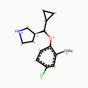 COc1cc(Cl)ccc1OC(C1CC1)[C@H]1CCNC1